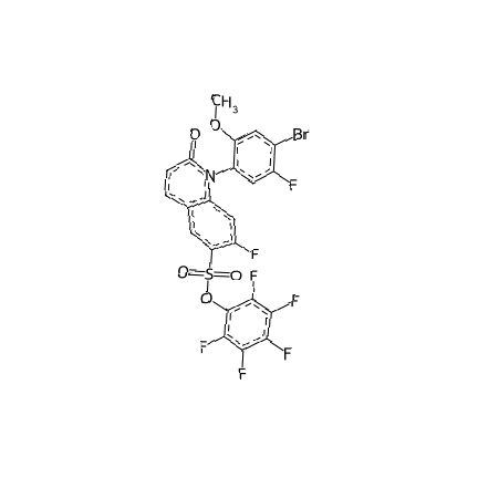 COc1cc(Br)c(F)cc1-n1c(=O)ccc2cc(S(=O)(=O)Oc3c(F)c(F)c(F)c(F)c3F)c(F)cc21